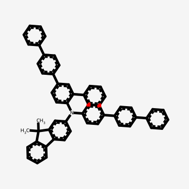 CC1(C)c2ccccc2-c2ccc(N(c3ccc(-c4ccc(-c5ccccc5)cc4)cc3)c3ccc(-c4ccc(-c5ccccc5)cc4)cc3-c3ccccc3)cc21